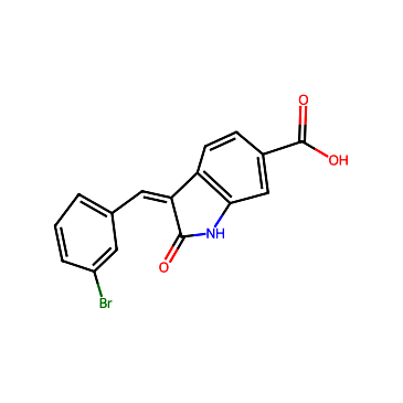 O=C1Nc2cc(C(=O)O)ccc2C1=Cc1cccc(Br)c1